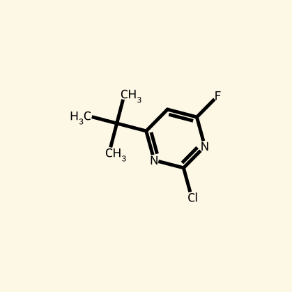 CC(C)(C)c1cc(F)nc(Cl)n1